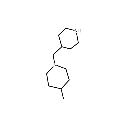 CC1CCN(CC2CCNCC2)CC1